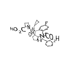 O=C(O)[C@H]1CCN1C(=O)N(C1CC1)[C@H]1c2cc(F)ccc2[N+](Cc2ccccc2)(C(=O)O)[C@H]2CCC[C@H]12